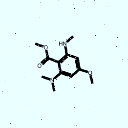 CNc1cc(OC)cc(N(C)C)c1C(=O)OC